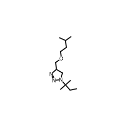 CCC(C)(C)N1CC(COCCC(C)C)N=N1